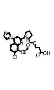 O=COC(OCCC(=O)O)[C@@H]1CCCN1c1cc(-n2ccnc2)c2ccc(Cl)c(Cl)c2n1